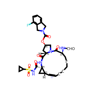 O=CN[C@H]1CCCCC/C=C\[C@@H]2C[C@@]2(C(=O)NS(=O)(=O)C2CC2)NC(=O)[C@@H]2C[C@@H](OC(=O)N3Cc4cccc(F)c4C3)CN2C1=O